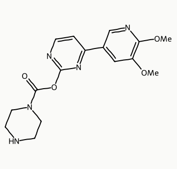 COc1cc(-c2ccnc(OC(=O)N3CCNCC3)n2)cnc1OC